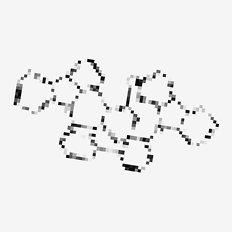 N#Cc1cccc(C#N)c1-c1cccc2c3ccccc3n(-c3cccc(-c4cccc(-n5c6ccccc6c6ccccc65)c4)c3)c12